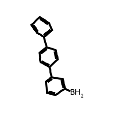 Bc1cccc(-c2ccc(-c3ccccc3)cc2)c1